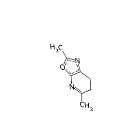 CC1=Nc2oc(C)nc2CC1